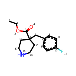 CCOC(=O)C1(Cc2ccc(F)cc2)CCNCC1